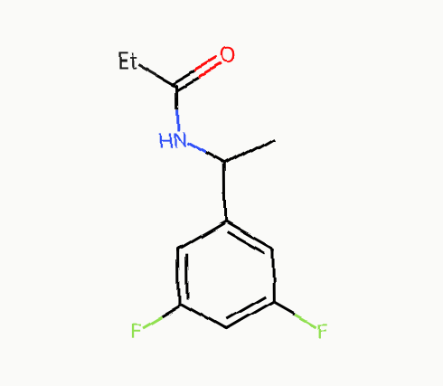 CCC(=O)NC(C)c1cc(F)cc(F)c1